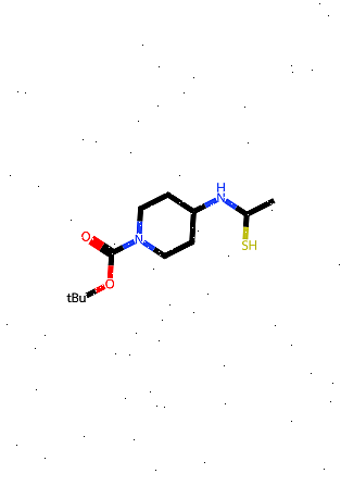 CC(S)NC1CCN(C(=O)OC(C)(C)C)CC1